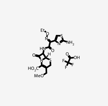 CCON=C(C(=O)NC1C(=O)N2C(C(=O)O)=C(COC)CS[C@@H]12)c1csc(N)n1.O=C(O)C(F)(F)F